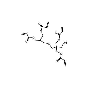 C=CC(=O)OCC(COCC(CO)(COC(=O)C=C)COC(=O)C=C)COC(=O)C=C